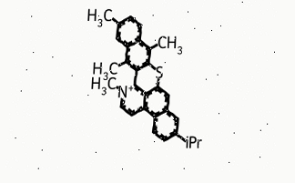 Cc1ccc2c(C)c3c(c(C)c2c1)-c1c2c(cc4cc(C(C)C)ccc4c2cc[n+]1C)S3